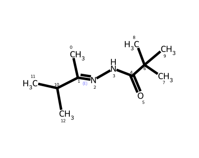 C/C(=N\NC(=O)C(C)(C)C)C(C)C